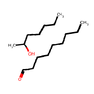 CCCCCC(C)O.CCCCCCCCC=O